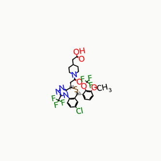 COc1cccc([C@H]2S[C@H](CC(=O)N3CCC(CC(=O)O)CC3)c3nnc(C(F)(F)F)n3-c3ccc(Cl)cc32)c1OC(F)(F)F